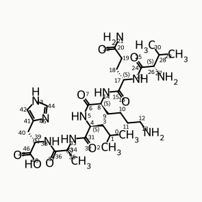 CC(C)C[C@H](NC(=O)[C@H](CCCCN)NC(=O)[C@H](CCC(N)=O)NC(=O)[C@@H](N)C(C)C)C(=O)N[C@@H](C)C(=O)N[C@@H](Cc1c[nH]cn1)C(=O)O